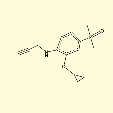 C#CCNc1ccc(P(C)(C)=O)cc1OC1CC1